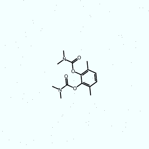 Cc1ccc(C)c(OC(=O)N(C)C)c1OC(=O)N(C)C